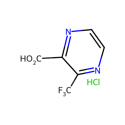 Cl.O=C(O)c1nccnc1C(F)(F)F